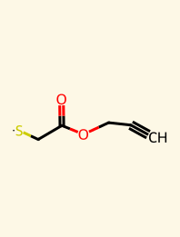 C#CCOC(=O)C[S]